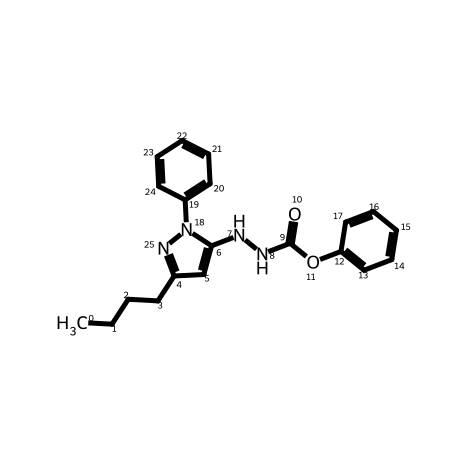 CCCCc1cc(NNC(=O)Oc2ccccc2)n(-c2ccccc2)n1